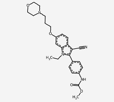 CCn1c(-c2ccc(NC(=O)OC)cc2)c(C#N)c2ccc(OCCCN3CCOCC3)cc21